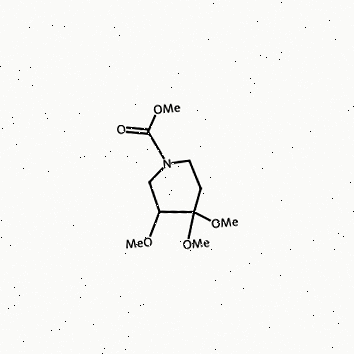 COC(=O)N1CCC(OC)(OC)C(OC)C1